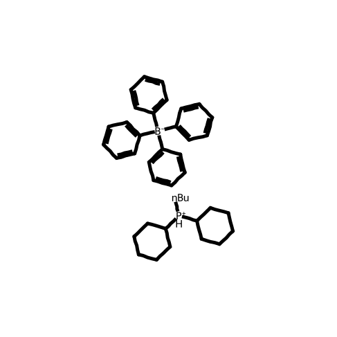 CCCC[PH+](C1CCCCC1)C1CCCCC1.c1ccc([B-](c2ccccc2)(c2ccccc2)c2ccccc2)cc1